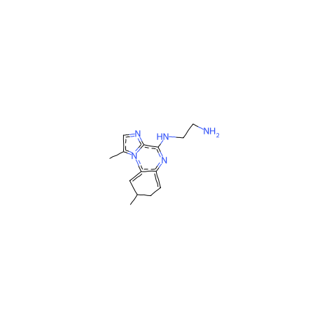 Cc1cnc2c(NCCN)nc3c(n12)=CC(C)CC=3